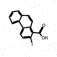 O=C(O)c1c(I)ccc2c1ccc1ccccc12